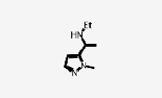 CCNC(C)c1ccnn1C